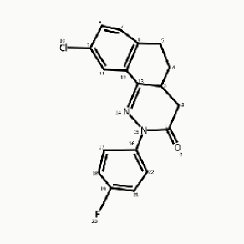 O=C1CC2CCc3ccc(Cl)cc3C2=NN1c1ccc(F)cc1